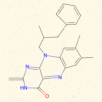 C=c1nc2c(c(=O)[nH]1)=Nc1cc(C)c(C)cc1N2CC(C)Cc1ccccc1